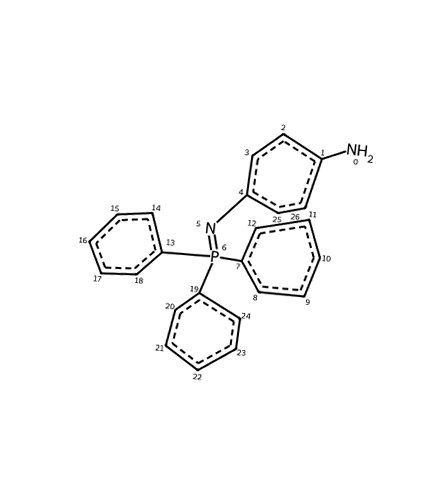 Nc1ccc(N=P(c2ccccc2)(c2ccccc2)c2ccccc2)cc1